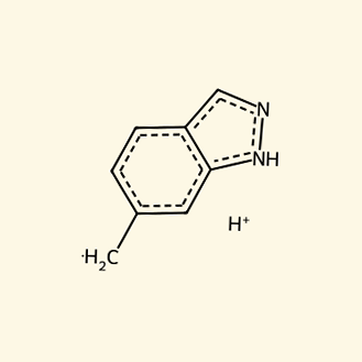 [CH2]c1ccc2cn[nH]c2c1.[H+]